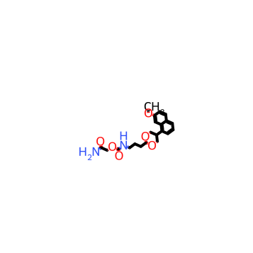 COc1ccc2cccc(C3COC(CCCNC(=O)OCC(N)=O)OC3)c2c1